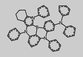 c1ccc(N(c2ccccc2)c2ccc3c(c2)N(c2ccccc2)c2cccc4c2B3c2c(c3c(n2-c2ccccc2)CCCC3)N4c2ccccc2)cc1